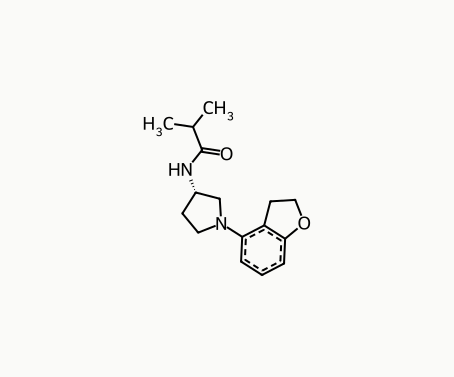 CC(C)C(=O)N[C@H]1CCN(c2cccc3c2CCO3)C1